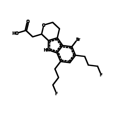 O=C(O)CC1OCCc2c1[nH]c1c(CCCF)cc(CCCF)c(Br)c21